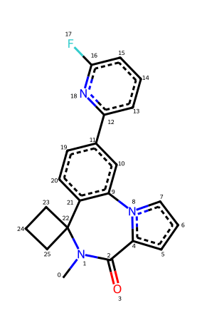 CN1C(=O)c2cccn2-c2cc(-c3cccc(F)n3)ccc2C12CCC2